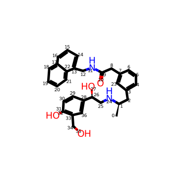 C[C@H](Cc1cccc(CC(=O)NCc2cccc3ccccc23)c1)NC[C@H](O)c1ccc(O)c(CO)c1